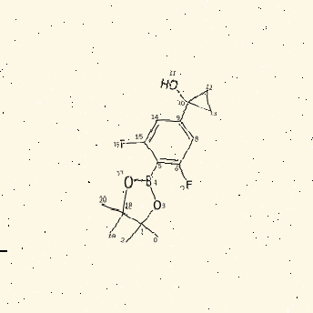 CC1(C)OB(c2c(F)cc(C3(O)CC3)cc2F)OC1(C)C